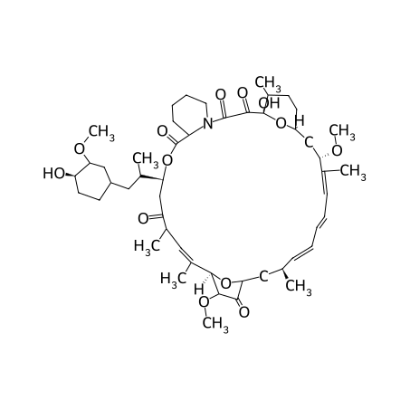 COC1CC(CC(C)[C@@H]2CC(=O)C(C)/C=C(\C)[C@H]3OC(C[C@H](C)/C=C/C=C/C=C(\C)[C@@H](OC)C[C@@H]4CCC(C)C(O)(O4)C(=O)C(=O)N4CCCCC4C(=O)O2)C(=O)C3OC)CC[C@H]1O